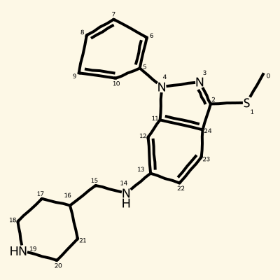 CSc1nn(-c2ccccc2)c2cc(NCC3CCNCC3)ccc12